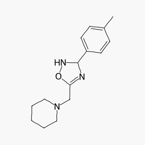 Cc1ccc(C2N=C(CN3CCCCC3)ON2)cc1